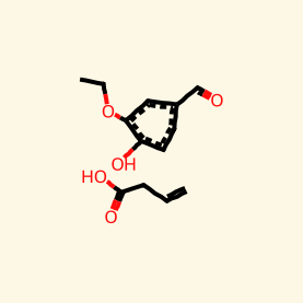 C=CCC(=O)O.CCOc1cc(C=O)ccc1O